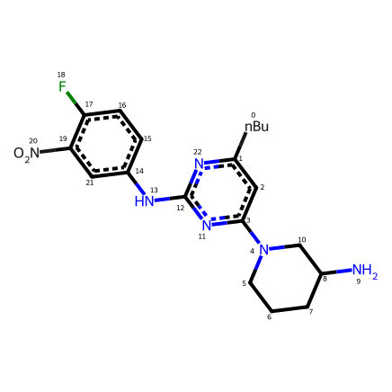 CCCCc1cc(N2CCCC(N)C2)nc(Nc2ccc(F)c([N+](=O)[O-])c2)n1